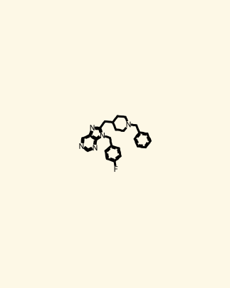 Fc1ccc(Cn2c(CC3CCN(Cc4ccccc4)CC3)nc3cncnc32)cc1